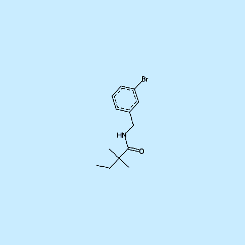 CCC(C)(C)C(=O)NCc1cccc(Br)c1